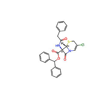 O=C(Cc1ccccc1)N[C@]1(C(=O)OC(c2ccccc2)c2ccccc2)C(=O)N2C=C(Cl)CS[C@H]21